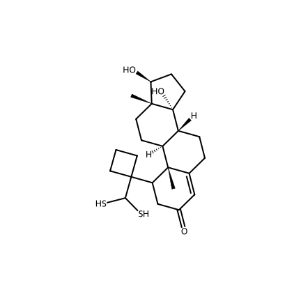 C[C@@]12C(=CC(=O)CC1C1(C(S)S)CCC1)CC[C@@H]1[C@@H]2CC[C@]2(C)[C@@H](O)CC[C@@]12O